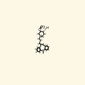 CN1c2ccccc2CC(=CCCN2CCCC(OC(=O)O)C2)c2ccccc21